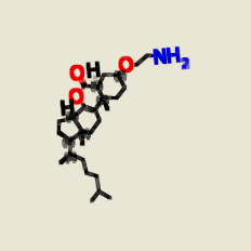 CC(C)CCC[C@@H](C)[C@H]1CC[C@H]2C3=C(CC[C@]12C)[C@@]1(C)CC[C@H](OCCN)C[C@@H]1C(=O)O3